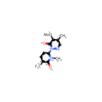 COc1c(C)cnn(-c2ccc(C(F)(F)F)c(=O)n2C)c1=O